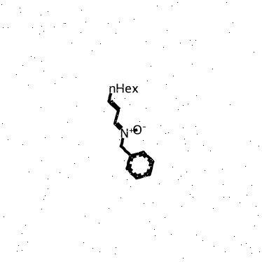 CCCCCCC=CC=[N+]([O-])Cc1ccccc1